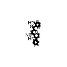 N#CC1=C2c3[nH]c4ccccc4c3CCN2CC(C(=O)c2ccccc2O)=C1